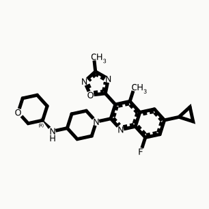 Cc1noc(-c2c(N3CCC(N[C@@H]4CCCOC4)CC3)nc3c(F)cc(C4CC4)cc3c2C)n1